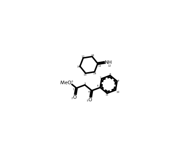 COC(=O)CC(=O)c1ccccc1.N=C1CCCCC1